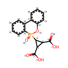 O=C(O)C1C(C(=O)O)C1P1(=O)Oc2ccccc2-c2ccccc21